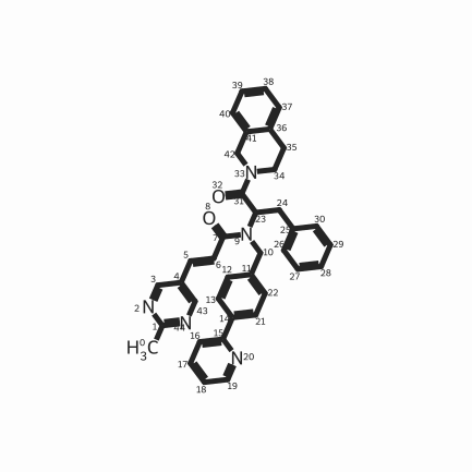 Cc1ncc(C=CC(=O)N(Cc2ccc(-c3ccccn3)cc2)C(Cc2ccccc2)C(=O)N2CCc3ccccc3C2)cn1